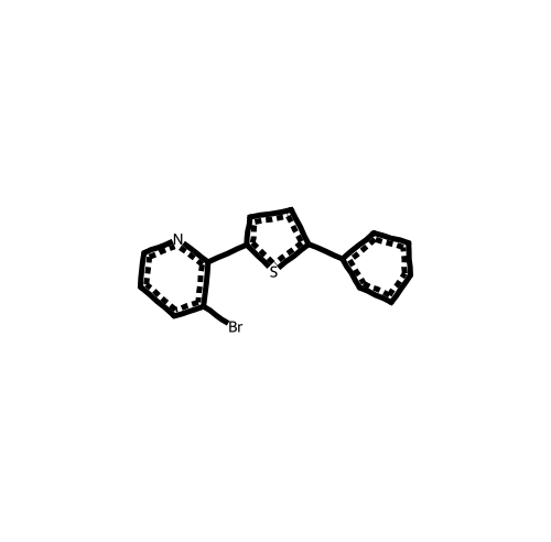 Brc1cccnc1-c1ccc(-c2ccccc2)s1